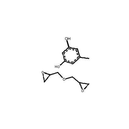 C(OCC1CO1)C1CO1.Cc1cc(O)cc(O)c1